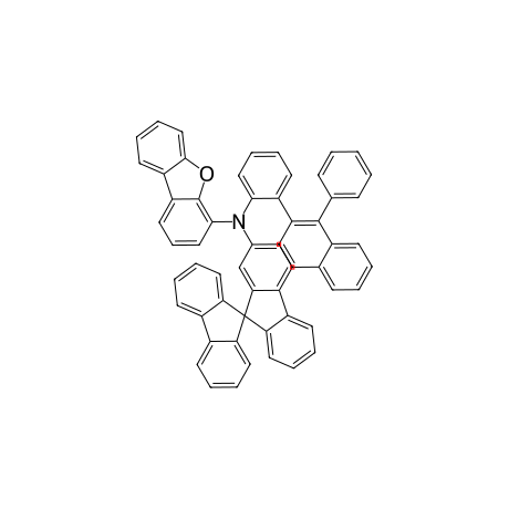 c1ccc(-c2c(-c3ccccc3N(c3ccc4c(c3)C3(c5ccccc5-c5ccccc53)c3ccccc3-4)c3cccc4c3oc3ccccc34)ccc3ccccc23)cc1